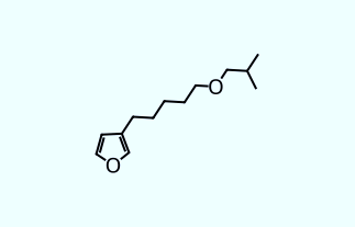 CC(C)COCCCCCc1ccoc1